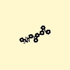 c1ccc(-n2c3ccccc3c3cc(-c4ccc5c(c4)c4ccccc4n5-c4cccc(-c5ncc6sc7ccccc7c6n5)c4)ccc32)cc1